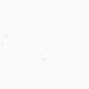 CCCCCCCCCC(=O)c1c(O)n(C(=O)Nc2ccc(OC(F)(F)F)cc2)c2ccccc12